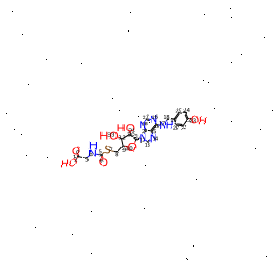 O=C(O)CNC(=O)SCC1OC(n2cnc3c(NCc4ccc(O)cc4)ncnc32)C(O)C1O